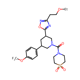 CCOCCc1noc(C2CC(c3ccc(OC(F)(F)F)cc3)CN(C(=O)N3CCS(=O)(=O)CC3)C2)n1